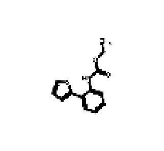 CCOC(=O)Nc1ccccc1-c1cccs1